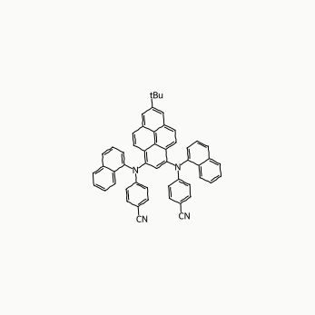 CC(C)(C)c1cc2ccc3c(N(c4ccc(C#N)cc4)c4cccc5ccccc45)cc(N(c4ccc(C#N)cc4)c4cccc5ccccc45)c4ccc(c1)c2c34